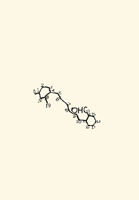 CC1CCC(CCCCCCC2CCCCC2C=O)C(C)C1